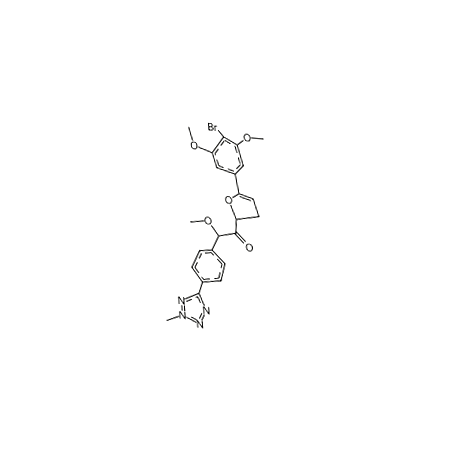 COc1cc(C2=CCC(C(=O)C(OC)c3ccc(-c4nnn(C)n4)cc3)O2)cc(OC)c1Br